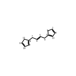 C1=CCC(C/C=C/CC2=CC=CC2)=C1